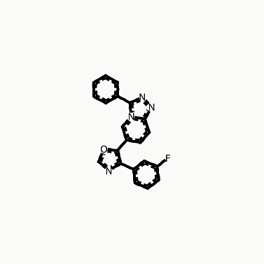 Fc1cccc(-c2ncoc2-c2ccc3nnc(-c4ccccc4)n3c2)c1